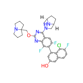 Oc1cc(-c2c(F)cc3c(N4C[C@H]5CC[C@@H](C4)N5)nc(OCC45CCCN4CCC5)nc3c2F)c2c(Cl)c(F)ccc2c1